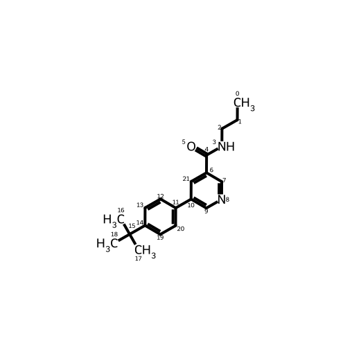 CCCNC(=O)c1cncc(-c2ccc(C(C)(C)C)cc2)c1